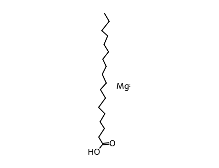 CCCCCCCCCCCCCCCCCC(=O)O.[Mg]